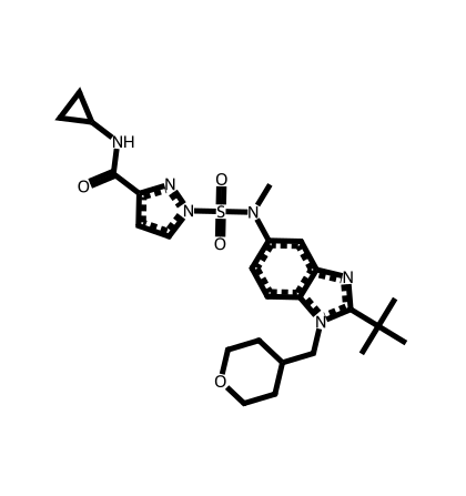 CN(c1ccc2c(c1)nc(C(C)(C)C)n2CC1CCOCC1)S(=O)(=O)n1ccc(C(=O)NC2CC2)n1